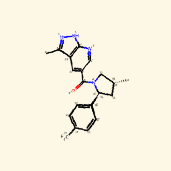 Cc1n[nH]c2ncc(C(=O)N3C[C@H](C)C[C@H]3c3ccc(C(F)(F)F)cc3)cc12